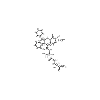 Cc1c(F)cccc1Cc1c(-c2ccccc2)c2ccccn2c1C(=O)N1CCNC(CC(=O)NCC(C)(C)C(N)=O)C1.Cl